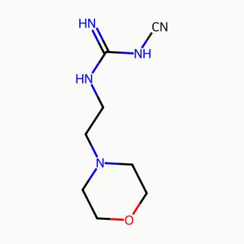 N#CNC(=N)NCCN1CCOCC1